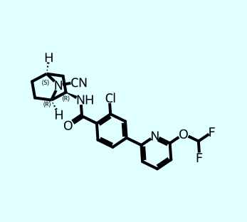 N#CN1[C@H]2CC[C@@H]1[C@H](NC(=O)c1ccc(-c3cccc(OC(F)F)n3)cc1Cl)C2